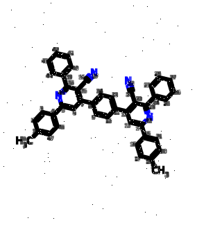 Cc1ccc(-c2cc(-c3ccc(-c4cc(-c5ccc(C)cc5)nc(-c5ccccc5)c4C#N)cc3)c(C#N)c(-c3ccccc3)n2)cc1